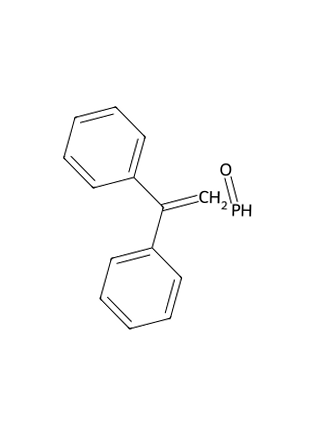 C=C(c1ccccc1)c1ccccc1.O=P